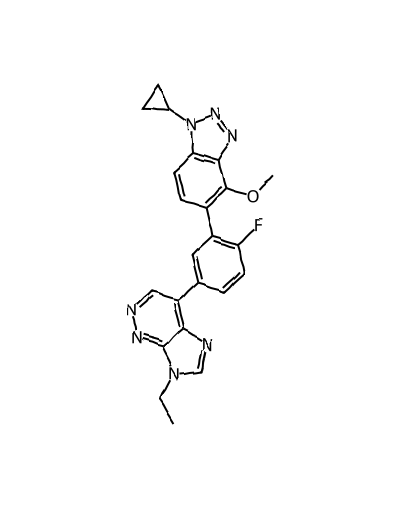 CCn1cnc2c(-c3ccc(F)c(-c4ccc5c(nnn5C5CC5)c4OC)c3)cnnc21